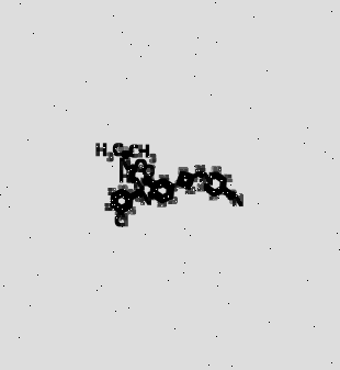 CC(C)NC(=O)Cn1c(-c2cccc(Cl)c2)nc2ccc([C@H]3C[C@H](CN4CCC(C#N)CC4)C3)cc2c1=O